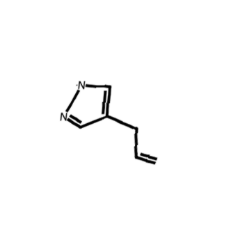 C=CCC1=C[N]N=C1